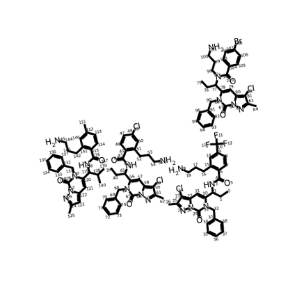 CCC(NC(=O)c1ccc(C(F)(F)F)cc1CCCN)c1cc2c(Cl)c(C)nn2c(=O)n1Cc1ccccc1.CCC(NC(=O)c1ccc(Cl)cc1CCCN)c1cc2c(Cl)c(C)nn2c(=O)n1Cc1ccccc1.CCC(c1cc2c(Cl)c(C)nn2c(=O)n1Cc1ccccc1)N(CCCN)C(=O)c1ccc(Br)cc1.Cc1ccc(C(=O)NC(c2cc3cc(C)nn3c(=O)n2Cc2ccccc2)C(C)C)c(CCCN)c1